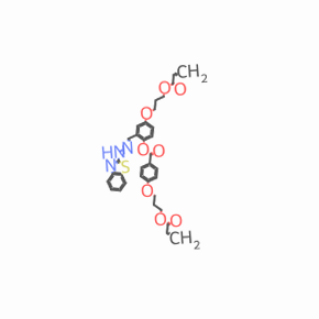 C=CC(=O)OCCCOc1ccc(C(=O)Oc2ccc(OCCCOC(=O)C=C)cc2/C=N/Nc2nc3ccccc3s2)cc1